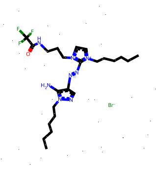 CCCCCCn1ncc(/N=N/c2n(CCCNC(=O)C(F)(F)F)cc[n+]2CCCCCC)c1N.[Br-]